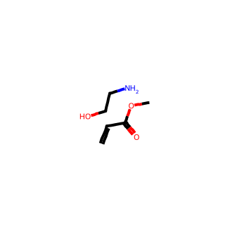 C=CC(=O)OC.NCCO